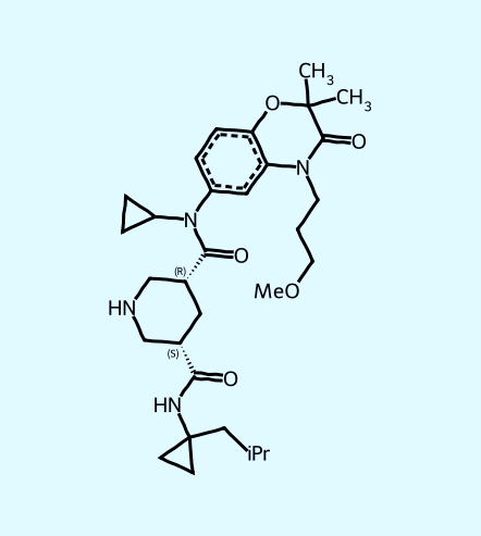 COCCCN1C(=O)C(C)(C)Oc2ccc(N(C(=O)[C@H]3CNC[C@@H](C(=O)NC4(CC(C)C)CC4)C3)C3CC3)cc21